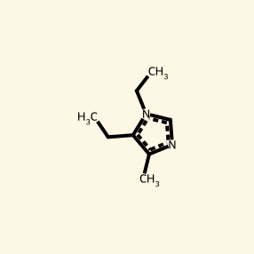 CCc1c(C)ncn1CC